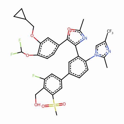 Cc1nc(-c2cc(-c3cc(F)c(CO)c(S(C)(=O)=O)c3)ccc2-n2cc(C(F)(F)F)nc2C)c(-c2ccc(OC(F)F)c(OCC3CC3)c2)o1